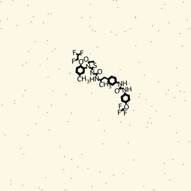 Cc1ccc(OC(F)C(F)F)c(N2C(=O)CSC2=NC(=O)NC(C)Cc2ccc(NC(=O)Nc3ccc(OC(F)(F)F)cc3)cc2)c1